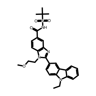 CCn1c2ccccc2c2cc(-c3nc4cc(C(=O)NS(=O)(=O)C(C)(C)C)ccc4n3CCOC)ccc21